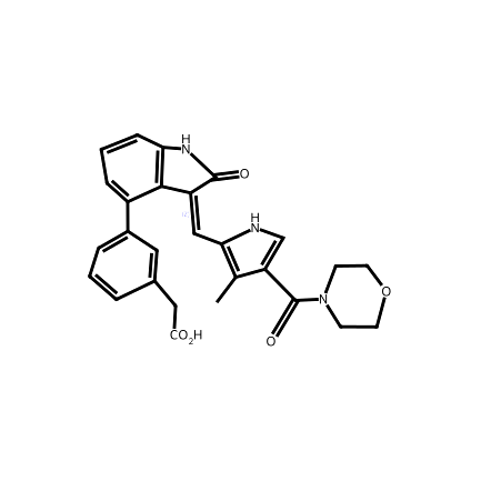 Cc1c(C(=O)N2CCOCC2)c[nH]c1/C=C1\C(=O)Nc2cccc(-c3cccc(CC(=O)O)c3)c21